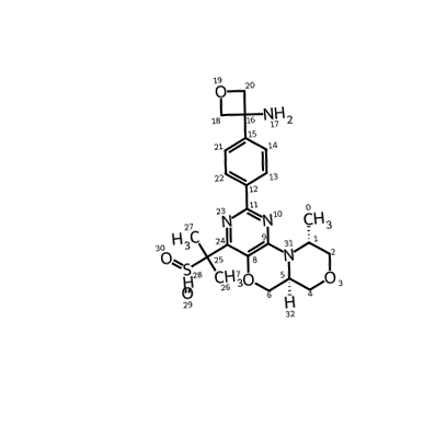 C[C@@H]1COC[C@H]2COc3c(nc(-c4ccc(C5(N)COC5)cc4)nc3C(C)(C)[SH](=O)=O)N21